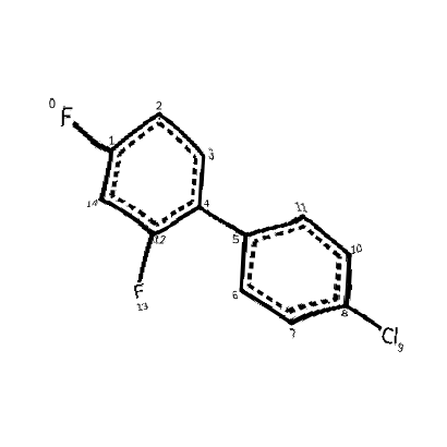 Fc1[c]cc(-c2ccc(Cl)cc2)c(F)c1